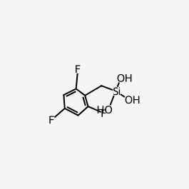 O[Si](O)(O)Cc1c(F)cc(F)cc1F